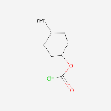 CCCC1CCC(OC(=O)Cl)CC1